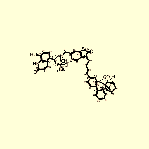 CC(C)(C)[Si](C)(C)O[C@H](CNCc1ccc2c(c1)sc(=O)n2CCCCc1ccc(-c2ccccc2)c(N(C(=O)O)[C@H]2CN3CCC2CC3)c1)c1ccc(O)c2[nH]c(=O)ccc12